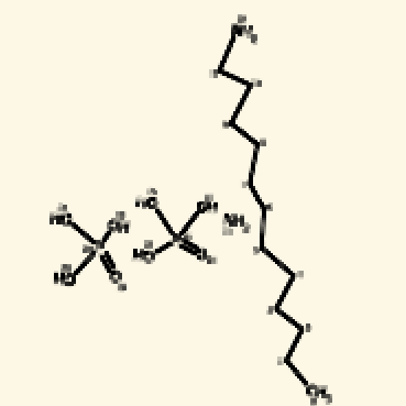 CCCCCCCCCCCCN.N.O=P(O)(O)O.O=P(O)(O)O